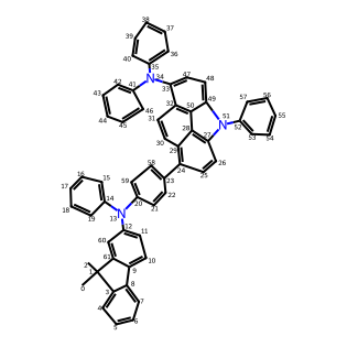 CC1(C)c2ccccc2-c2ccc(N(c3ccccc3)c3ccc(-c4ccc5c6c4ccc4c(N(c7ccccc7)c7ccccc7)ccc(c46)n5-c4ccccc4)cc3)cc21